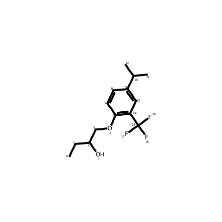 CCC(O)COc1ccc(C(C)C)cc1C(F)(F)F